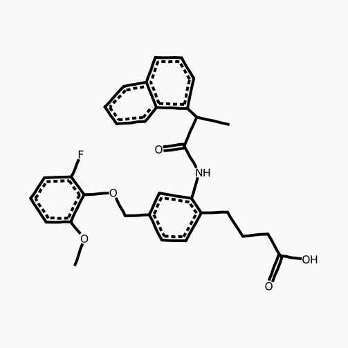 COc1cccc(F)c1OCc1ccc(CCCC(=O)O)c(NC(=O)C(C)c2cccc3ccccc23)c1